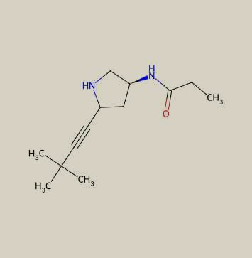 CCC(=O)N[C@@H]1CNC(C#CC(C)(C)C)C1